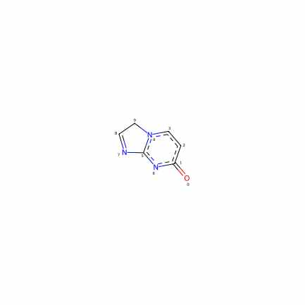 O=c1ccn2c(n1)N=CC2